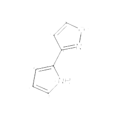 c1c[nH]c(-c2ccon2)c1